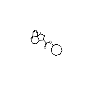 O=C(OC1CCCCCCC1)C1CSC23C=CC=CC2=NCCC13